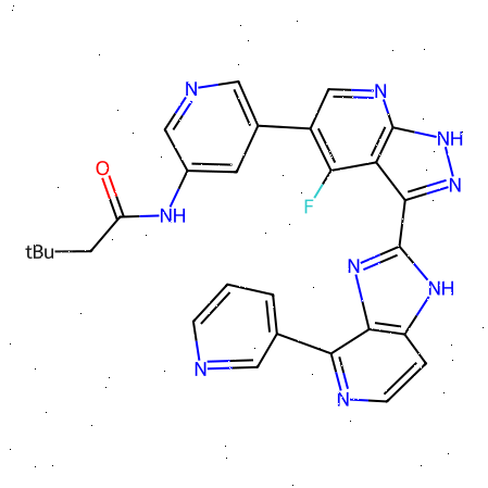 CC(C)(C)CC(=O)Nc1cncc(-c2cnc3[nH]nc(-c4nc5c(-c6cccnc6)nccc5[nH]4)c3c2F)c1